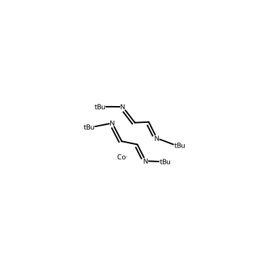 CC(C)(C)N=CC=NC(C)(C)C.CC(C)(C)N=CC=NC(C)(C)C.[Co]